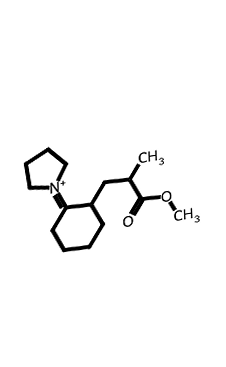 COC(=O)C(C)CC1CCCCC1=[N+]1CCCC1